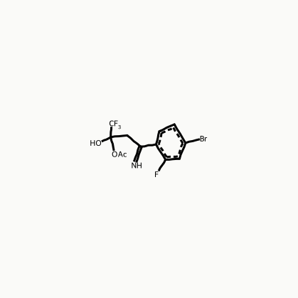 CC(=O)OC(O)(CC(=N)c1ccc(Br)cc1F)C(F)(F)F